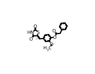 COc1cc(/C=C2\SC(=O)NC2=O)ccc1OC(=O)Cc1ccccc1